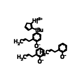 C=CCc1ccccc1[O-].C=CCc1ccccc1[O-].C=CCc1ccccc1[O-].CC(C)(C)C1=[C]([Hf+3])CC=C1